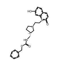 O=C(NC[C@@H]1CCN(CCn2c(=O)ccc3ccc(O)cc32)C1)OCc1ccccc1